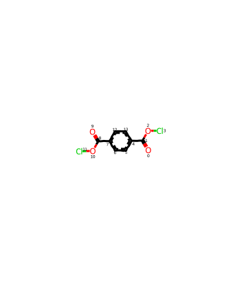 O=C(OCl)c1ccc(C(=O)OCl)cc1